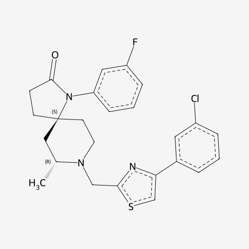 C[C@@H]1C[C@]2(CCC(=O)N2c2cccc(F)c2)CCN1Cc1nc(-c2cccc(Cl)c2)cs1